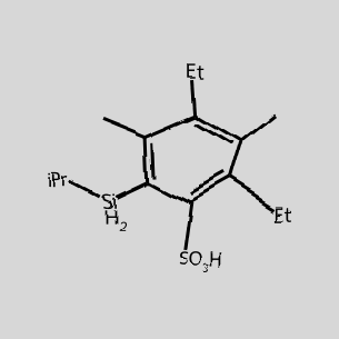 CCc1c(C)c(CC)c(S(=O)(=O)O)c([SiH2]C(C)C)c1C